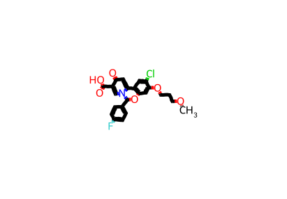 COCCCOc1cc2c(cc1Cl)-c1cc(=O)c(C(=O)O)cn1C(c1ccc(F)cc1)O2